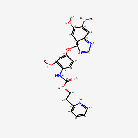 COc1cc(Oc2ncnc3cc(OC)c(OC)cc23)ccc1NC(=O)OCCc1ccccn1